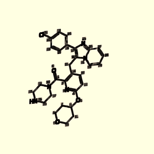 O=C(c1nc(OC2CCOCC2)ccc1Cc1c(-c2ccc(Cl)cc2)nc2ccccn12)N1CCNCC1